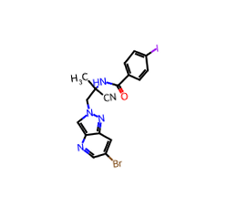 CC(C#N)(Cn1cc2ncc(Br)cc2n1)NC(=O)c1ccc(I)cc1